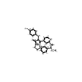 CC(Nc1nccc(-c2c(Cc3ccc(F)cc3)c(=O)n3n2CCC3)n1)c1ccccc1